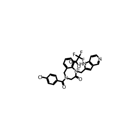 O=C(c1ccc(Cl)cc1)N1CC(=O)[N+](Cc2cc3cnccc3[nH]2)(OC(=O)C(F)(F)F)c2ccccc2C1